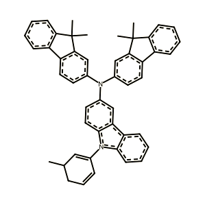 CC1C=C(n2c3ccccc3c3cc(N(c4ccc5c(c4)C(C)(C)c4ccccc4-5)c4ccc5c(c4)C(C)(C)c4ccccc4-5)ccc32)C=CC1